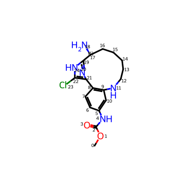 COC(=O)Nc1ccc2c(c1)NCCCCC[C@H](N)c1nc-2c(Cl)[nH]1